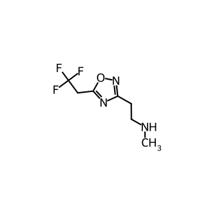 CNCCc1noc(CC(F)(F)F)n1